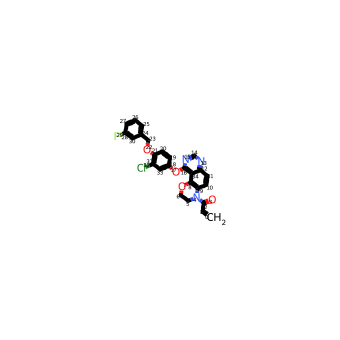 C=CC(=O)N1CCOc2c1ccc1ncnc(Oc3ccc(OCc4cccc(F)c4)c(Cl)c3)c21